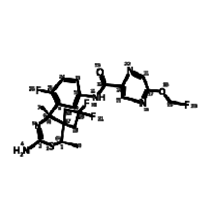 C[C@H]1SC(N)=N[C@](C)(c2cc(NC(=O)c3cnc(OCF)cn3)ccc2F)C12CC(F)(F)C2